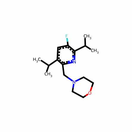 CC(C)c1cc(F)c(C(C)C)nc1CN1CCOCC1